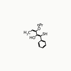 C/C=C(OCCC)\C(O)=C(/S)c1ccccc1